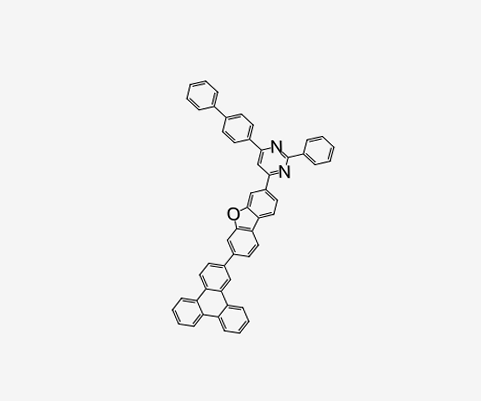 c1ccc(-c2ccc(-c3cc(-c4ccc5c(c4)oc4cc(-c6ccc7c8ccccc8c8ccccc8c7c6)ccc45)nc(-c4ccccc4)n3)cc2)cc1